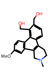 COc1ccc2c(c1)c1c(c3ccc(CO)c(CO)c32)CCN(C)C1